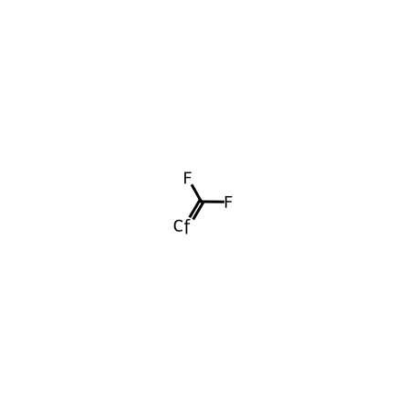 F[C](F)=[Cf]